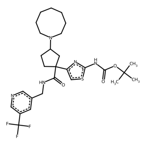 CC(C)(C)OC(=O)Nc1nc(C2(C(=O)NCc3cncc(C(F)(F)F)c3)CCC(N3CCCCCCC3)C2)cs1